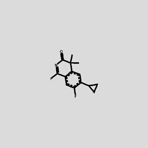 CC1(C)C(=O)N=C(I)c2cc(F)c(C3CC3)cc21